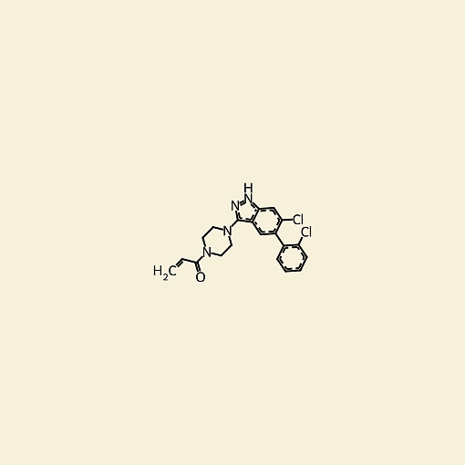 C=CC(=O)N1CCN(c2n[nH]c3cc(Cl)c(-c4ccccc4Cl)cc23)CC1